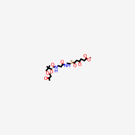 COC(=O)CCC(=O)CC(=O)SCCNC(=O)CCNC(=O)[C@@H]1OC(CC(C)=O)OCC1(C)C